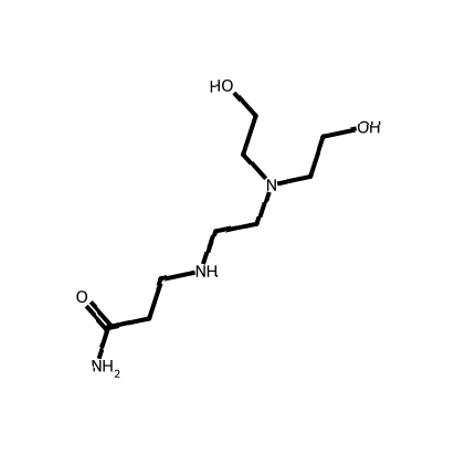 NC(=O)CCNCCN(CCO)CCO